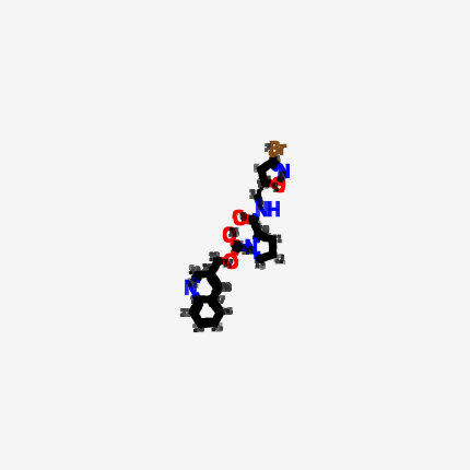 O=C(NC[C@@H]1CC(Br)=NO1)C1CCCN1C(=O)OCc1cnc2ccccc2c1